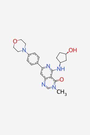 Cn1cnc2cc(-c3ccc(N4CCOCC4)cc3)nc(N[C@H]3CC[C@@H](O)C3)c2c1=O